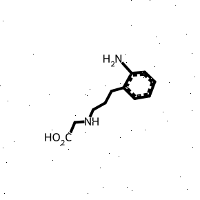 Nc1ccccc1CCCNCC(=O)O